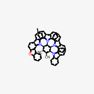 Cc1ccc2c(c1)c1ccc3oc4ccccc4c3c1n2-c1c(C#N)c(C#N)c(-n2c3ccccc3c3ccccc32)c(-n2c3ccccc3c3ccccc32)c1-n1c2ccccc2c2ccccc21